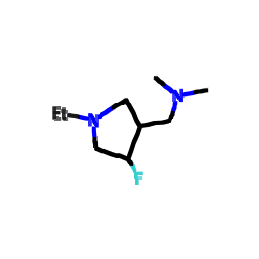 CCN1CC(F)C(CN(C)C)C1